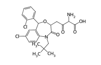 CC(C)(C)CN1C(=O)C(CC(=O)C(N)C(=O)O)OC(c2ccccc2Cl)c2cc(Cl)ccc21